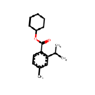 Cc1ccc(C(=O)OC2CCCCC2)c(C(C)C)c1